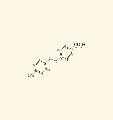 O=C(O)c1ccc(CCc2ccc(Cl)cc2)cc1